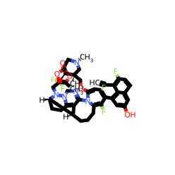 C#Cc1c(F)ccc2cc(O)cc(C3=C(F)C=C(OC[C@]4(C)CN(C)CC[C@@H]4C(F)F)N4C5=NCN6C7=C5[C@@H](CCCC4=C3F)[C@H](CC7)N6Cc3oc(=O)oc3C)c12